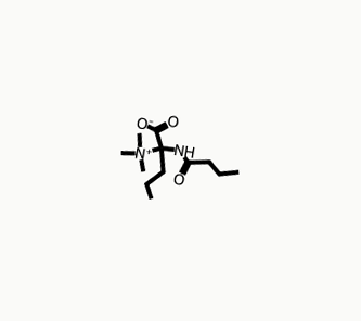 CCCC(=O)NC(CCC)(C(=O)[O-])[N+](C)(C)C